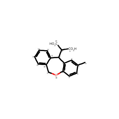 Cc1ccc2c(c1)C(C(C(=O)O)C(=O)O)c1ccccc1CO2